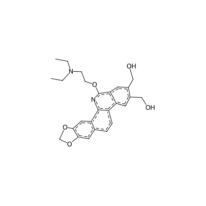 CCN(CC)CCOc1nc2c3cc4c(cc3ccc2c2cc(CO)c(CO)cc12)OCO4